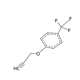 C#CCOc1ccc(C(F)(F)F)cc1